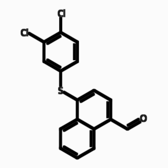 O=Cc1ccc(Sc2ccc(Cl)c(Cl)c2)c2ccccc12